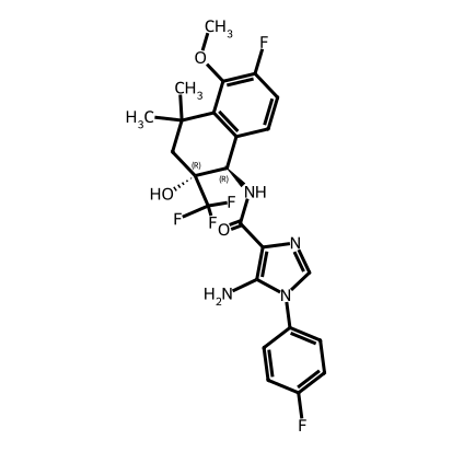 COc1c(F)ccc2c1C(C)(C)C[C@](O)(C(F)(F)F)[C@@H]2NC(=O)c1ncn(-c2ccc(F)cc2)c1N